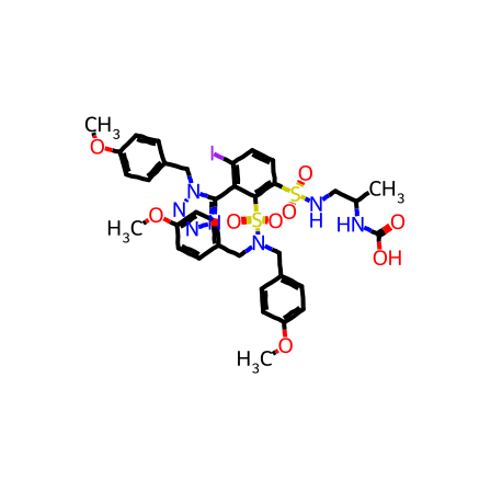 COc1ccc(CN(Cc2ccc(OC)cc2)S(=O)(=O)c2c(S(=O)(=O)NCC(C)NC(=O)O)ccc(I)c2-c2nnnn2Cc2ccc(OC)cc2)cc1